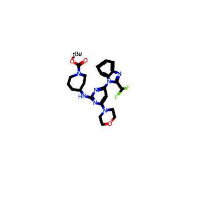 CC(C)(C)OC(=O)N1CCCC(Nc2nc(N3CCOCC3)cc(-n3c(C(F)F)nc4ccccc43)n2)CC1